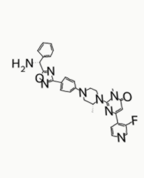 C[C@@H]1CN(c2ccc(-c3noc([C@H](N)c4ccccc4)n3)cc2)CCN1c1nc(-c2ccncc2F)cc(=O)n1C